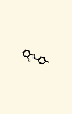 Cc1ccc(/C=N/c2ccccc2Br)cc1